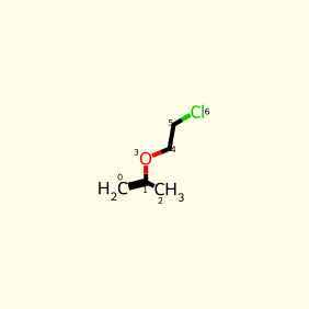 C=C(C)OCCCl